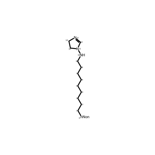 CCCCCCCCCCCCCCCCCCNN1C=NCC1